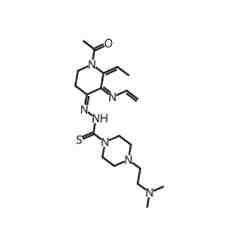 C=C/N=C1C(=N\NC(=S)N2CCN(CCN(C)C)CC2)/CCN(C(C)=O)C/1=C/C